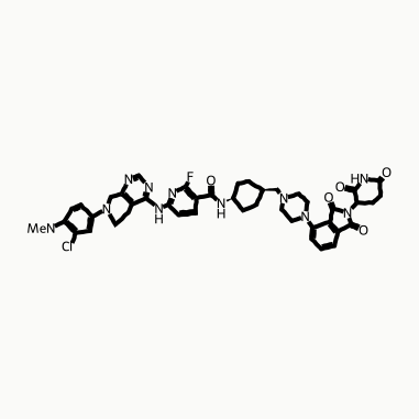 CNc1ccc(N2CCc3c(ncnc3Nc3ccc(C(=O)N[C@H]4CC[C@H](CN5CCN(c6cccc7c6C(=O)N(C6CCC(=O)NC6=O)C7=O)CC5)CC4)c(F)n3)C2)cc1Cl